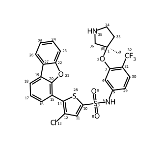 C[C@@]1(Oc2cc(NS(=O)(=O)c3cc(Cl)c(-c4cccc5c4oc4ccccc45)s3)ccc2C(F)(F)F)CCNC1